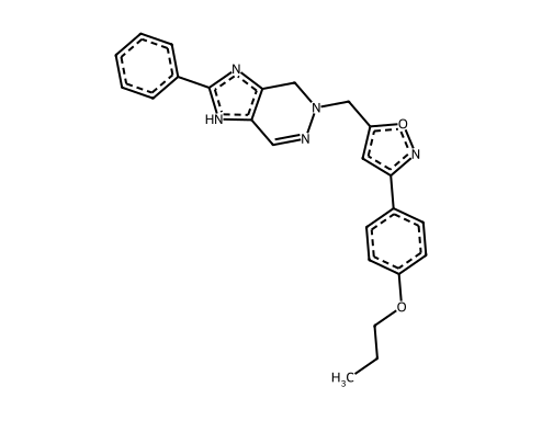 CCCOc1ccc(-c2cc(CN3Cc4nc(-c5ccccc5)[nH]c4C=N3)on2)cc1